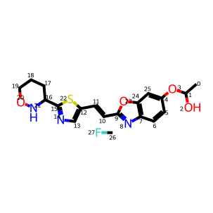 CC(O)Oc1ccc2nc(C=Cc3cnc(C4CCCON4)s3)oc2c1.CF